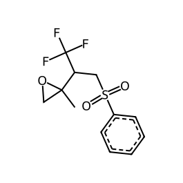 CC1(C(CS(=O)(=O)c2ccccc2)C(F)(F)F)CO1